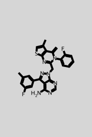 C=C1c2c(C)csc2N=C(Cn2nc(-c3cc(C)cc(F)c3)c3c(N)ncnc32)N1c1ccccc1F